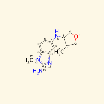 CC1COCC1Nc1ccc2c(c1)nc(N)n2C